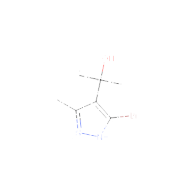 Cc1n[nH]c(Br)c1C(C)(C)O